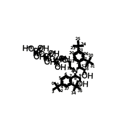 CC(C)(C)c1ccc(C(CO)N(CCO)C(CO)c2ccc(C(C)(C)C)cc2C(C)(C)C)c(C(C)(C)C)c1.OP(O)O.OP(O)O.OP(O)O